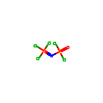 O=P(Cl)(Cl)N=P(Cl)(Cl)Cl